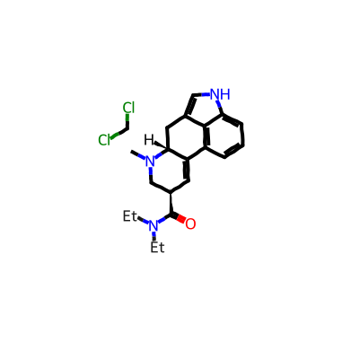 CCN(CC)C(=O)[C@@H]1C=C2c3cccc4[nH]cc(c34)C[C@H]2N(C)C1.ClCCl